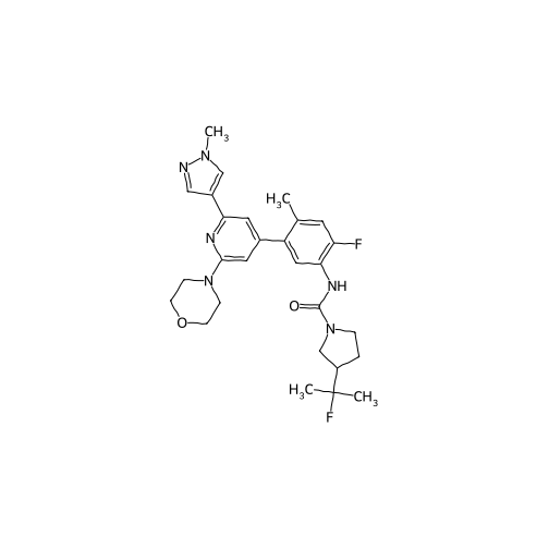 Cc1cc(F)c(NC(=O)N2CCC(C(C)(C)F)C2)cc1-c1cc(-c2cnn(C)c2)nc(N2CCOCC2)c1